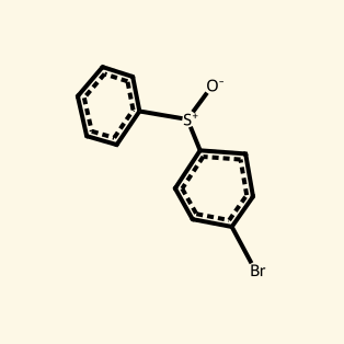 [O-][S+](c1ccccc1)c1ccc(Br)cc1